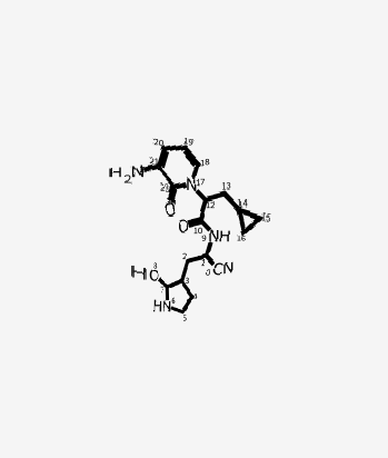 N#CC(CC1CCNC1O)NC(=O)C(CC1CC1)n1cccc(N)c1=O